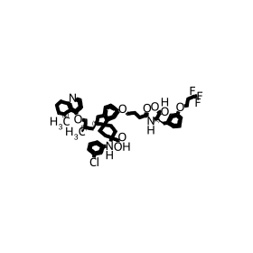 C[C@@H](COc1ccnc2c1[C@H](C)CCC2)C[C@H]1Cc2ccc(OCCCC(=O)N[C@H](Cc3cccc(OCCC(F)(F)F)c3)C(=O)O)cc2C12CCC(Nc1cccc(Cl)c1)(C(=O)O)CC2